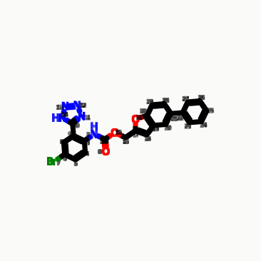 O=C(Nc1ccc(Br)cc1-c1nnn[nH]1)OCc1cc2cc(-c3ccccc3)ccc2o1